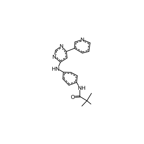 CC(C)(C)C(=O)Nc1ccc(Nc2cc(-c3cccnc3)ncn2)cc1